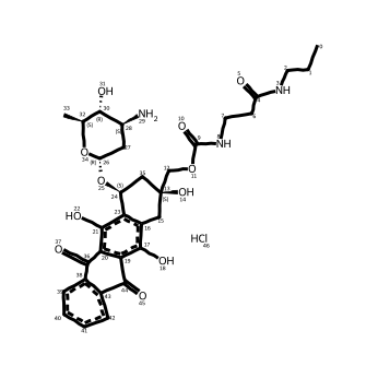 CCCNC(=O)CCNC(=O)OC[C@]1(O)Cc2c(O)c3c(c(O)c2[C@@H](O[C@H]2C[C@H](N)[C@@H](O)[C@H](C)O2)C1)C(=O)c1ccccc1C3=O.Cl